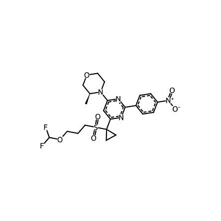 C[C@H]1COCCN1c1cc(C2(S(=O)(=O)CCCOC(F)F)CC2)nc(-c2ccc([N+](=O)[O-])cc2)n1